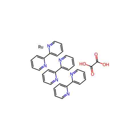 O=C(O)C(=O)O.[Ru].c1ccc(-c2ccccn2)nc1.c1ccc(-c2ccccn2)nc1.c1ccc(-c2ccccn2)nc1